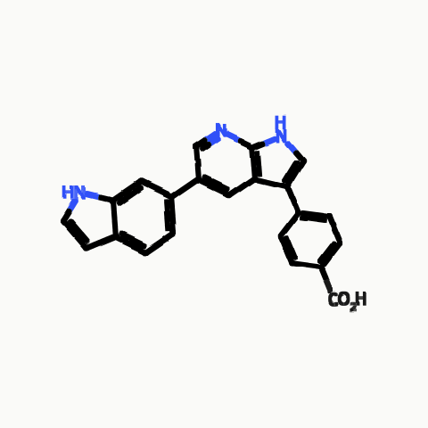 O=C(O)c1ccc(-c2c[nH]c3ncc(-c4ccc5cc[nH]c5c4)cc23)cc1